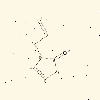 C=CCC1C=CCC1=O